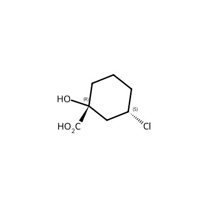 O=C(O)[C@@]1(O)CCC[C@H](Cl)C1